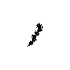 ICc1ccc(-c2ccc3cc(-c4ccc(-c5ccc6oc7ncccc7c6c5)nc4)cnc3c2)cc1